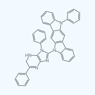 c1ccc(C2=Nc3nc(-n4c5ccccc5c5cc6c(cc54)c4ccccc4n6-c4ccccc4)n(-c4ccccc4)c3NC2)cc1